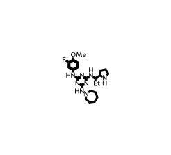 CCC(Nc1nc(Nc2ccc(OC)c(F)c2)nc(NN2CCCCCC2)n1)C1CCCN1